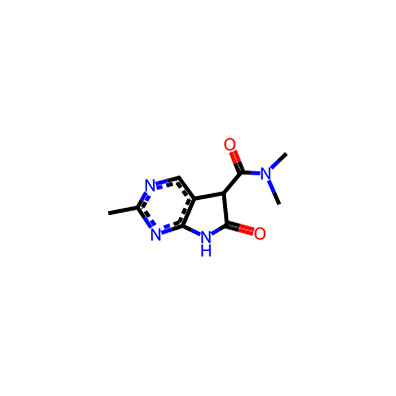 Cc1ncc2c(n1)NC(=O)C2C(=O)N(C)C